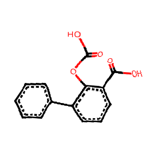 O=C(O)Oc1c(C(=O)O)cccc1-c1ccccc1